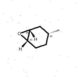 C[C@@H]1CC[C@@H]2O[C@@H]2C1